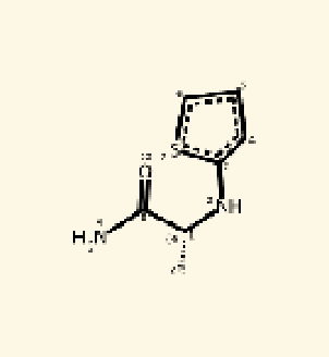 C[C@@H](Nc1cccs1)C(N)=O